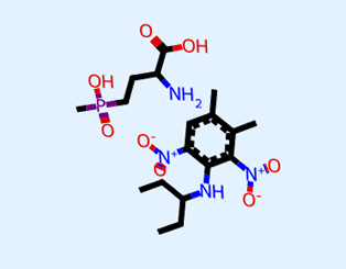 CCC(CC)Nc1c([N+](=O)[O-])cc(C)c(C)c1[N+](=O)[O-].CP(=O)(O)CCC(N)C(=O)O